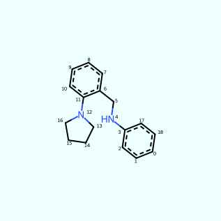 c1ccc(NCc2ccccc2N2CCCC2)cc1